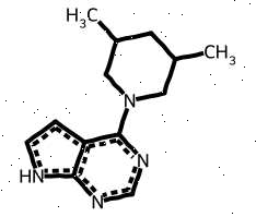 CC1CC(C)CN(c2ncnc3[nH]ccc23)C1